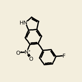 O=[N+]([O-])c1cc2[nH]ccc2cc1-c1cccc(F)c1